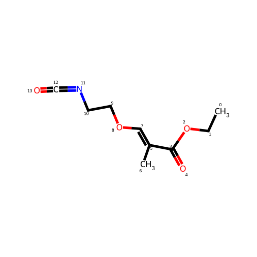 CCOC(=O)C(C)=COCCN=C=O